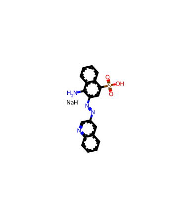 Nc1c(N=Nc2cnc3ccccc3c2)cc(S(=O)(=O)O)c2ccccc12.[NaH]